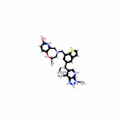 CCOC(=O)C[C@H](c1cc(CN2Cc3nc(O)ccc3O[C@H](CC)C2)c2sccc2c1)c1cnc2c(nnn2C)c1C